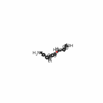 CCOc1ccc(-c2ccc(C(C)(C)CN)cc2)cc1S(=O)(=O)N1CCC2(CC1)C[C@H](NCC(O)COc1cccc(S(=O)(=O)C3(CO)CC3)c1)CO2